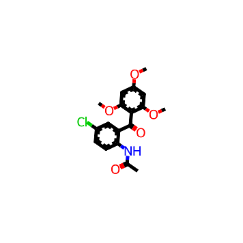 COc1cc(OC)c(C(=O)c2cc(Cl)ccc2NC(C)=O)c(OC)c1